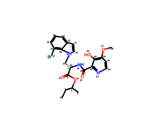 CCC(C)OC(=O)[C@H](Cn1ccc2cccc(Br)c21)NC(=O)c1nccc(OC)c1O